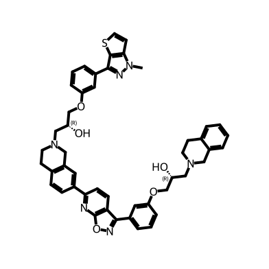 Cn1nc(-c2cccc(OC[C@H](O)CN3CCc4ccc(-c5ccc6c(-c7cccc(OC[C@H](O)CN8CCc9ccccc9C8)c7)noc6n5)cc4C3)c2)c2sccc21